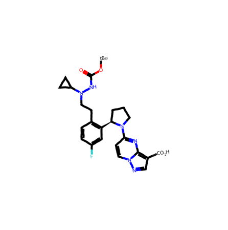 CC(C)(C)OC(=O)NN(CCc1ccc(F)cc1[C@H]1CCCN1c1ccn2ncc(C(=O)O)c2n1)C1CC1